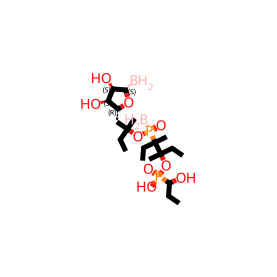 B[C@@H]1O[C@H](CC(C)(CC)OP(B)(=O)C(C)(CC)C(C)(CC)OP(=O)(O)C(O)CC)[C@@H](O)[C@H]1O